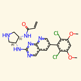 C=CC(=O)N[C@H]1CNC[C@H]1Nc1ncc2cc(-c3c(Cl)c(OC)cc(OC)c3Cl)cnc2n1